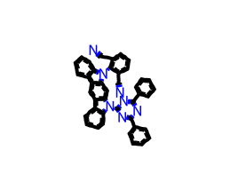 N#Cc1cccc(C#N)c1-n1c2ccccc2c2cc3c4ccccc4n(-c4nc(-c5ccccc5)nc(-c5ccccc5)n4)c3cc21